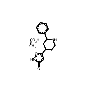 CC(=O)O.O=c1cc(C2CCNC(c3ccccc3)C2)o[nH]1